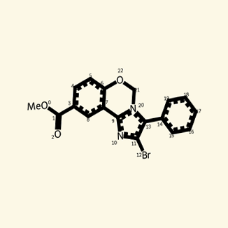 COC(=O)c1ccc2c(c1)-c1nc(Br)c(-c3ccccc3)n1CO2